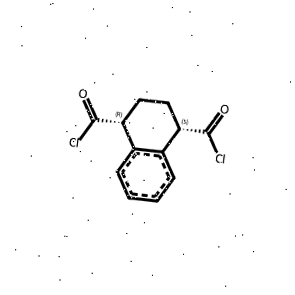 O=C(Cl)[C@H]1CC[C@@H](C(=O)Cl)c2ccccc21